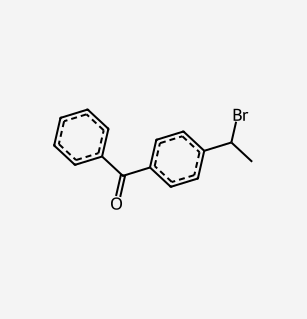 CC(Br)c1ccc(C(=O)c2ccccc2)cc1